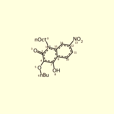 CCCCCCCCn1c(=O)c(OCCCC)c(O)c2ccc([N+](=O)[O-])cc21